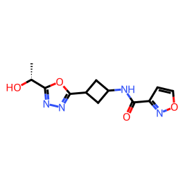 C[C@@H](O)c1nnc(C2CC(NC(=O)c3ccon3)C2)o1